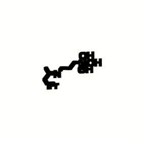 CC(CC(C)C)=NCCC[Si](O)(O)O